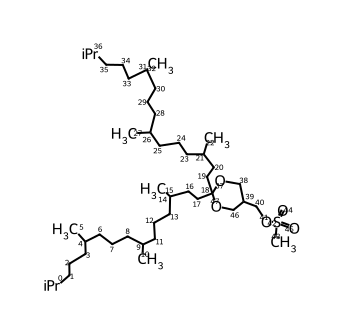 CC(C)CCCC(C)CCCC(C)CCCC(C)CCC1(CCC(C)CCCC(C)CCCC(C)CCCC(C)C)OCC(COS(C)(=O)=O)CO1